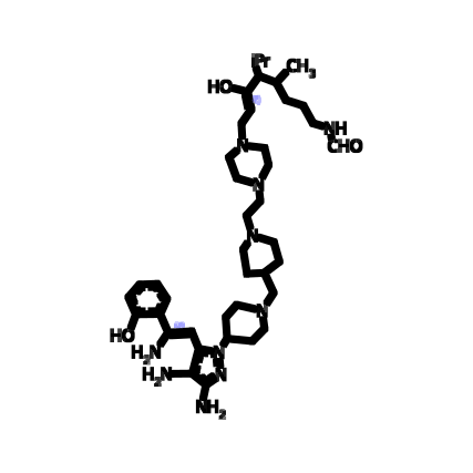 CC(C)C(/C(O)=C/CN1CCN(CCN2CCC(CN3CCC(n4nc(N)c(N)c4/C=C(\N)c4ccccc4O)CC3)CC2)CC1)C(C)CCCNC=O